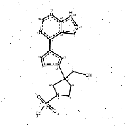 CCS(=O)(=O)N1CCC(CC#N)(n2ccc(-c3ncnc4[nH]ccc34)c2)C1